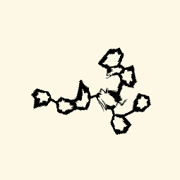 c1ccc(-c2ccc3cc(-c4nc(-c5ccccc5-c5ccccc5)nc(-c5cccc6c5sc5ccccc56)n4)ccc3c2)cc1